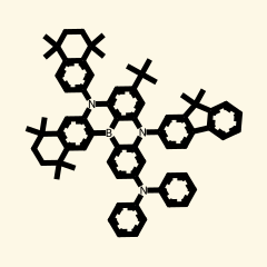 CC(C)(C)c1cc2c3c(c1)N(c1ccc4c(c1)C(C)(C)CCC4(C)C)c1cc4c(cc1B3c1ccc(N(c3ccccc3)c3ccccc3)cc1N2c1ccc2c(c1)C(C)(C)c1ccccc1-2)C(C)(C)CCC4(C)C